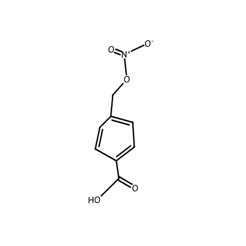 O=C(O)c1ccc(CO[N+](=O)[O-])cc1